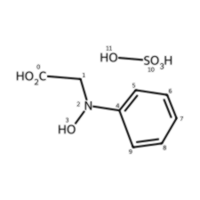 O=C(O)CN(O)c1ccccc1.O=S(=O)(O)O